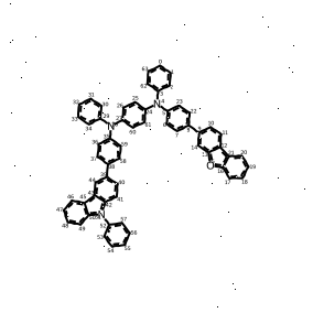 c1ccc(N(c2ccc(-c3ccc4c(c3)oc3ccccc34)cc2)c2ccc(N(c3ccccc3)c3ccc(-c4ccc5c(c4)c4ccccc4n5-c4ccccc4)cc3)cc2)cc1